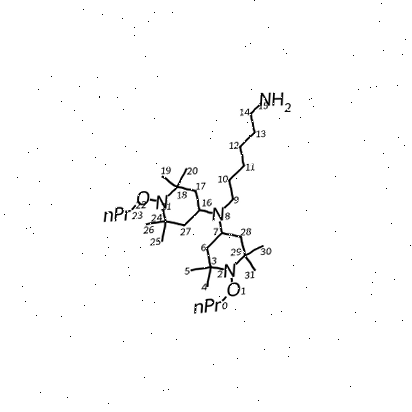 CCCON1C(C)(C)CC(N(CCCCCCN)C2CC(C)(C)N(OCCC)C(C)(C)C2)CC1(C)C